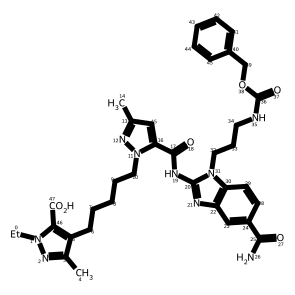 CCn1nc(C)c(CCCCCn2nc(C)cc2C(=O)Nc2nc3cc(C(N)=O)ccc3n2CCCNC(=O)OCc2ccccc2)c1C(=O)O